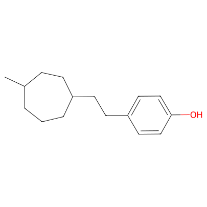 CC1CCCC(CCc2ccc(O)cc2)CC1